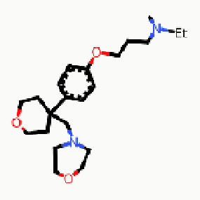 CCN(C)CCCOc1ccc(C2(CN3CCOCC3)CCOCC2)cc1